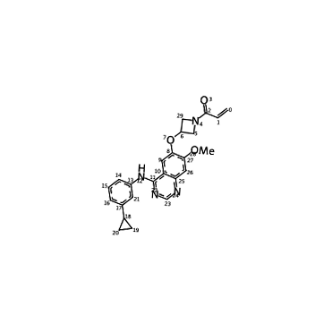 C=CC(=O)N1CC(Oc2cc3c(Nc4cccc(C5CC5)c4)ncnc3cc2OC)C1